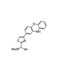 CN[C@@H](c1nc(-c2ccc3c(c2)Nc2ccccc2O3)cs1)C(C)C